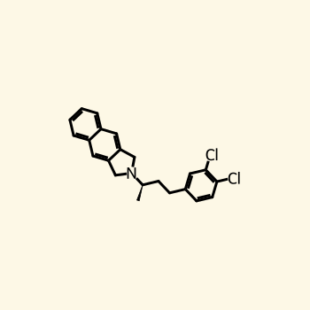 C[C@H](CCc1ccc(Cl)c(Cl)c1)N1Cc2cc3ccccc3cc2C1